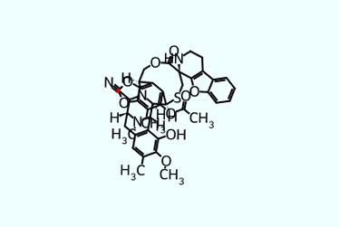 COc1c(C)cc2c(c1O)[C@H]1[C@@H]3[C@@H]4SC[C@]5(NCCc6c5oc5ccccc65)C(=O)OC[C@@H](c5c6c(c(C)c(OC(C)=O)c54)OCO6)N3C(C#N)[C@@H](C2)N1C